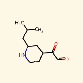 CC(C)CC1CC(C(=O)C=O)CCN1